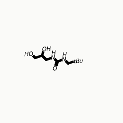 CC(C)(C)CNC(=O)NCC(O)CO